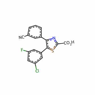 N#Cc1cccc(-c2nc(C(=O)O)sc2-c2cc(F)cc(Cl)c2)c1